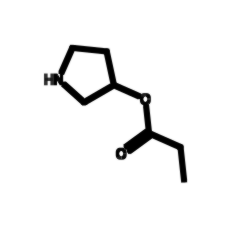 CCC(=O)OC1CCNC1